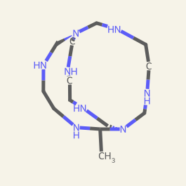 CC1NCCNC[N@]2CNCCNC[N@@]1CNCCNC2